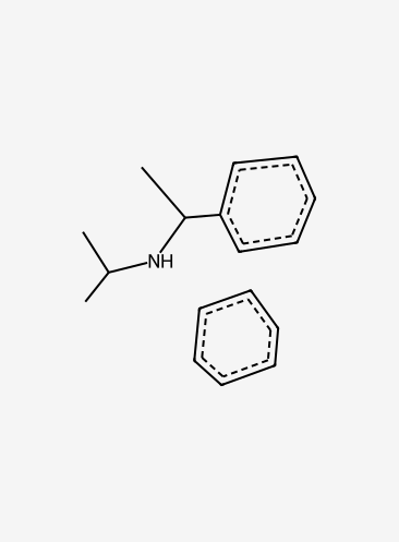 CC(C)NC(C)c1ccccc1.c1ccccc1